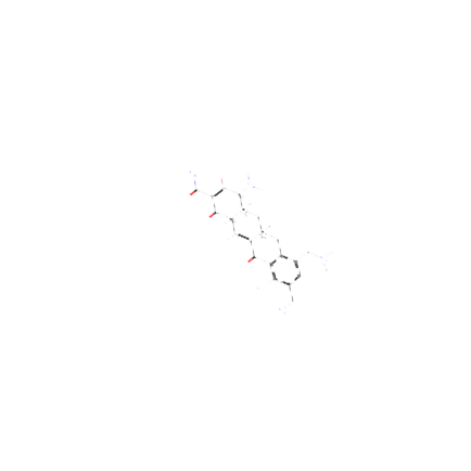 CN(C)Cc1cc(CN)c(O)c2c1C[C@H]1C[C@H]3[C@H](N(C)C)C(O)=C(C(N)=O)C(=O)[C@@]3(O)C(O)=C1C2=O